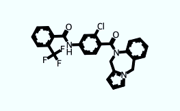 O=C(Nc1ccc(C(=O)N2Cc3cccn3Cc3ccccc32)c(Cl)c1)c1ccccc1C(F)(F)F